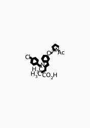 CC(=O)N1CCC[C@H]1COc1ccc2c(c1)cc(CC(C)(C)C(=O)O)n2Cc1ccc(Cl)cc1